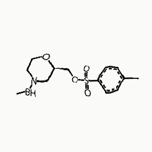 CBN1CCO[C@@H](COS(=O)(=O)c2ccc(C)cc2)C1